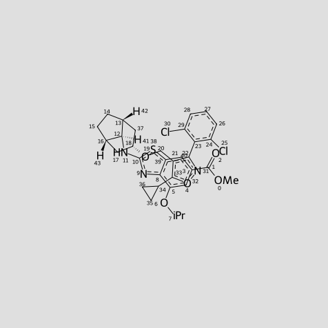 COC(=O)c1cc(OC(C)C)c2nc(N[C@@H]3[C@@H]4CC[C@H]3C[C@@H](OCc3c(-c5c(Cl)cccc5Cl)noc3C3CC3)C4)sc2c1